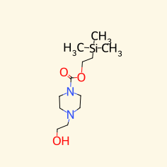 C[Si](C)(C)CCOC(=O)N1CCN(CCO)CC1